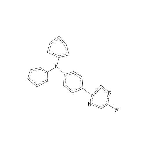 Brc1cnc(-c2ccc(N(c3ccccc3)c3ccccc3)cc2)cn1